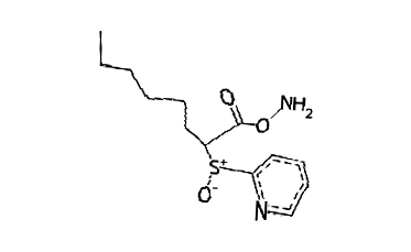 CCCCCCC(C(=O)ON)[S+]([O-])c1ccccn1